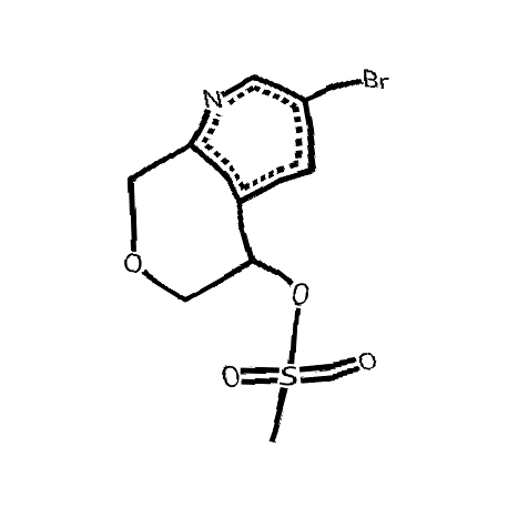 CS(=O)(=O)OC1COCc2ncc(Br)cc21